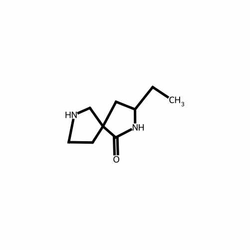 CCC1CC2(CCNC2)C(=O)N1